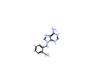 Nc1ncnc2c1ncn2Cc1ccccc1[N+](=O)[O-]